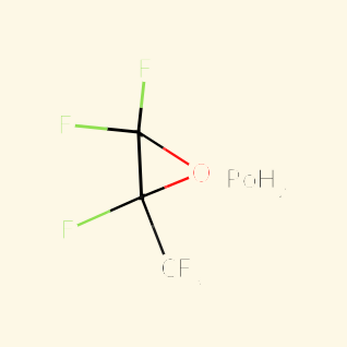 FC(F)(F)C1(F)OC1(F)F.[PoH2]